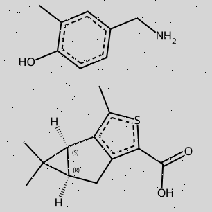 Cc1cc(CN)ccc1O.Cc1sc(C(=O)O)c2c1[C@H]1[C@@H](C2)C1(C)C